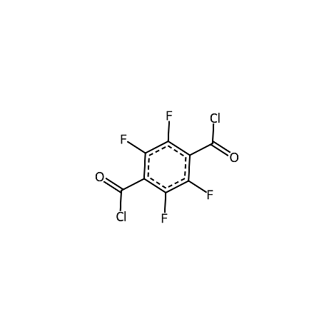 O=C(Cl)c1c(F)c(F)c(C(=O)Cl)c(F)c1F